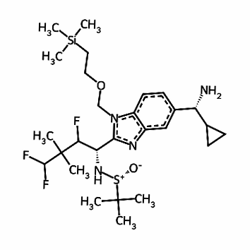 CC(C)(C(F)F)C(F)[C@@H](N[S@+]([O-])C(C)(C)C)c1nc2cc([C@H](N)C3CC3)ccc2n1COCC[Si](C)(C)C